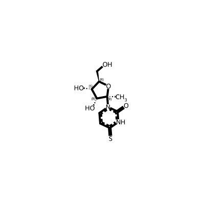 C[C@@]1(n2ccc(=S)[nH]c2=O)O[C@H](CO)[C@@H](O)[C@H]1O